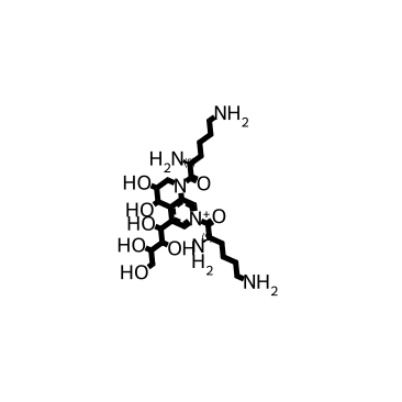 NCCCC[C@H](N)C(=O)N1CC(O)C(O)c2c(C(O)C(O)C(O)CO)c[n+](C(=O)[C@@H](N)CCCCN)cc21